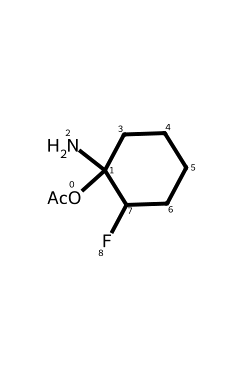 CC(=O)OC1(N)CCCCC1F